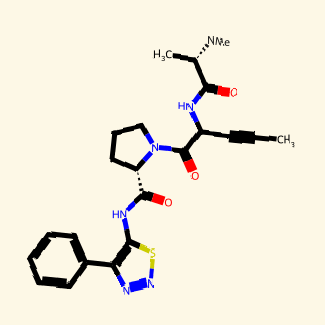 CC#CC(NC(=O)[C@H](C)NC)C(=O)N1CCC[C@H]1C(=O)Nc1snnc1-c1ccccc1